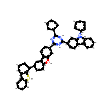 c1ccc(-c2nc(-c3ccc4c(c3)oc3ccc(-c5cccc6c5sc5ccccc56)cc34)nc(-c3ccc4c5ccccc5n(-c5ccccc5)c4c3)n2)cc1